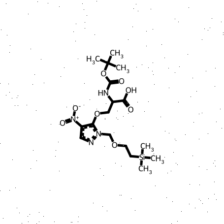 CC(C)(C)OC(=O)NC(COc1c([N+](=O)[O-])cnn1COCC[Si](C)(C)C)C(=O)O